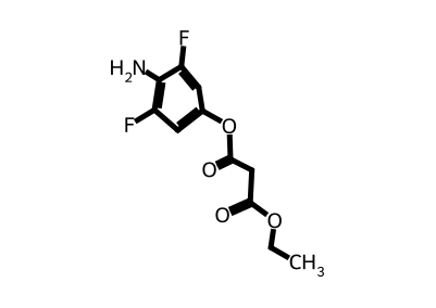 CCOC(=O)CC(=O)Oc1cc(F)c(N)c(F)c1